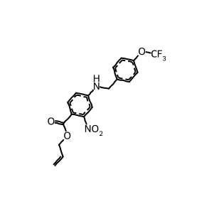 C=CCOC(=O)c1ccc(NCc2ccc(OC(F)(F)F)cc2)cc1[N+](=O)[O-]